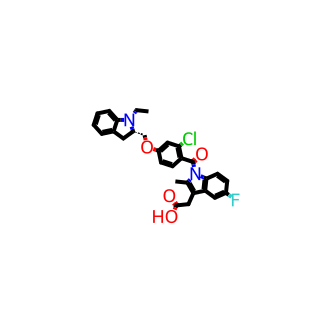 CCN1c2ccccc2C[C@H]1COc1ccc(C(=O)n2c(C)c(CC(=O)O)c3cc(F)ccc32)c(Cl)c1